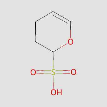 O=S(=O)(O)C1CCC=CO1